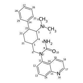 CN(C)C1CC(CN(C(N)=O)c2cccc3ncccc23)CCC1c1ccccc1